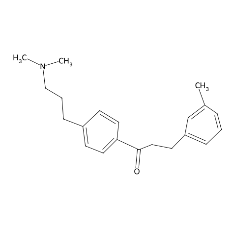 Cc1cccc(CCC(=O)c2ccc(CCCN(C)C)cc2)c1